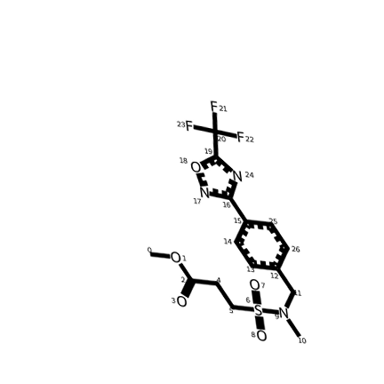 COC(=O)CCS(=O)(=O)N(C)Cc1ccc(-c2noc(C(F)(F)F)n2)cc1